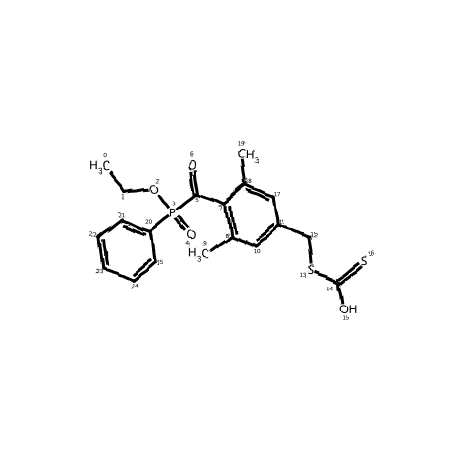 CCOP(=O)(C(=O)c1c(C)cc(CSC(O)=S)cc1C)c1ccccc1